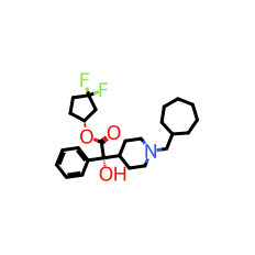 O=C(O[C@@H]1CCC(F)(F)C1)[C@](O)(c1ccccc1)C1CCN(CC2CCCCCC2)CC1